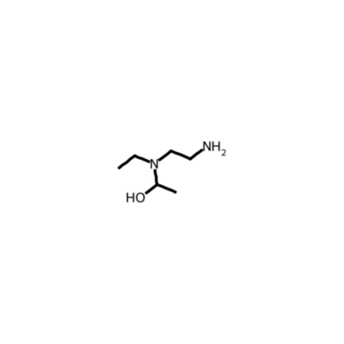 CCN(CCN)C(C)O